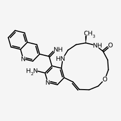 C[C@@H]1CCNc2c(cnc(N)c2C(=N)c2cnc3ccccc3c2)/C=C/CCOCCC(=O)N1